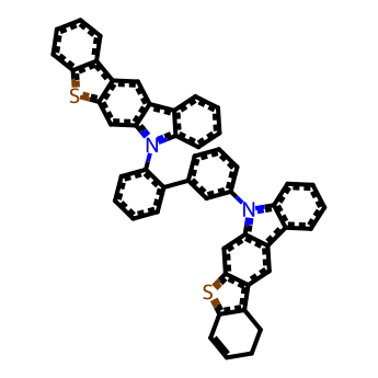 C1=Cc2sc3cc4c(cc3c2CC1)c1ccccc1n4-c1cccc(-c2ccccc2-n2c3ccccc3c3cc4c(cc32)sc2ccccc24)c1